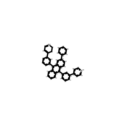 C1=NCCC(c2cccc(-c3c4ccccc4c(-c4cccc(-c5ccncc5)c4)c4ccc(-c5ccccc5)cc34)c2)=C1